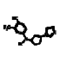 CCN(c1ccc(C#N)c(C(F)(F)F)c1)C1C=C(n2ccnc2)CC1